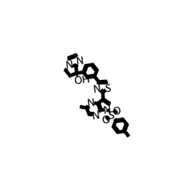 Cc1ccc(S(=O)(=O)n2cc(-c3nc(-c4cccc([C@]5(O)CCn6ccnc65)c4)cs3)c3nc(C)cnc32)cc1